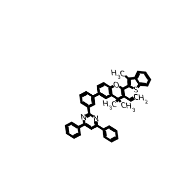 C=CC1=C(c2sc3ccccc3c2C)Oc2ccc(-c3cccc(-c4nc(-c5ccccc5)cc(-c5ccccc5)n4)c3)cc2C1(C)C